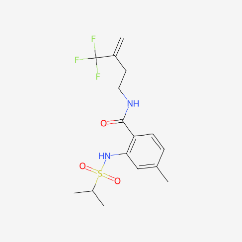 C=C(CCNC(=O)c1ccc(C)cc1NS(=O)(=O)C(C)C)C(F)(F)F